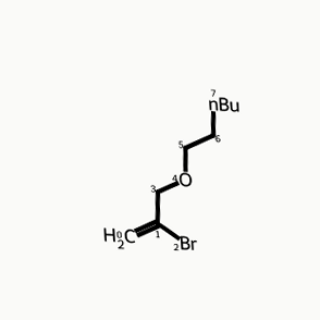 C=C(Br)COCCCCCC